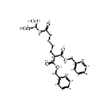 CCCCCCCCC(CCCCCCCC)OC(=O)CCCCC(C(=O)OCc1ccccc1)C(=O)OCc1ccccc1